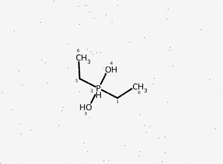 CC[PH](O)(O)CC